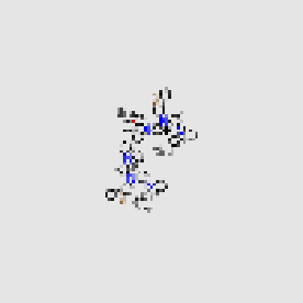 Cc1cc2c3c(c1)N1c4c(cc(C(C)(C)C)cc4C4(C)CCCCC14C)B3c1ccc(N3c4ccc(C(C)(C)C)cc4C4(c5ccccc5)CC(C5CCCC6(C)N7c8cc(C)cc9c8B(c8ccc(N%10c%11cc%12c(cc%11C%11(C)CCCC[C@]%10%11C)C(C)(C)CCC%12(C)C)cc8N9c8ccc9sc%10ccccc%10c9c8)c8cccc(c87)C56C)CCC34C)cc1N2c1ccc2sc3ccccc3c2c1